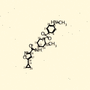 CNc1ccc(S(=O)(=O)N2CC[C@@H](NC(=O)c3cc(C4CC4)on3)C[C@H]2C)cc1